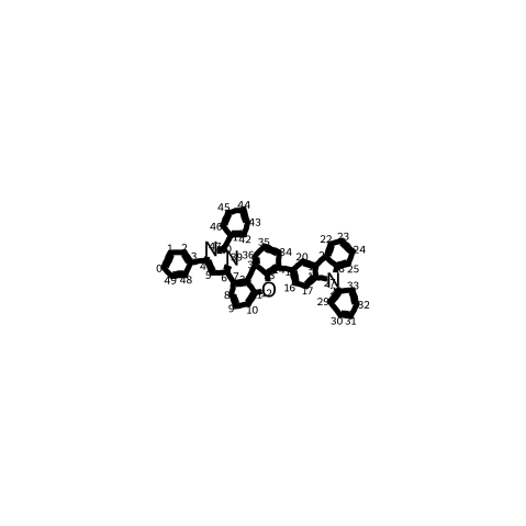 c1ccc(-c2cc(-c3cccc4oc5c(-c6ccc7c(c6)c6ccccc6n7-c6ccccc6)cccc5c34)nc(-c3ccccc3)n2)cc1